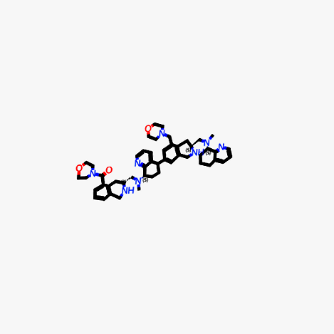 CN(C[C@@H]1Cc2c(cc(C3CC[C@H](N(C)C[C@H]4Cc5c(cccc5C(=O)N5CCOCC5)CN4)c4ncccc43)cc2CN2CCOCC2)CN1)[C@H]1CCCc2cccnc21